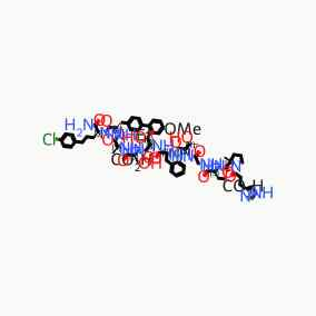 CCc1cc(OC)ccc1-c1ccc(C[C@H](NC(=O)[C@H](CC(=O)O)NC(=O)[C@H](CO)NC(=O)[C@@H](NC(=O)[C@](C)(Cc2ccccc2F)NC(=O)[C@@H](NC(=O)CNC(=O)[C@H](CCC(=O)O)NC(=O)[C@]2(C)CCCN2C(=O)CCc2c[nH]cn2)[C@@H](C)O)[C@@H](C)O)C(=O)N[C@@H](CCCc2ccc(Cl)cc2)C(N)=O)cc1